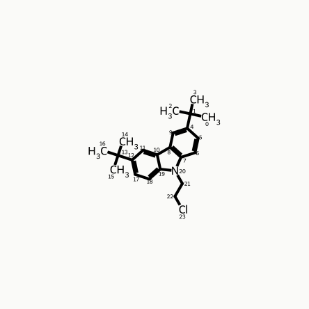 CC(C)(C)c1ccc2c(c1)c1cc(C(C)(C)C)ccc1n2CCCl